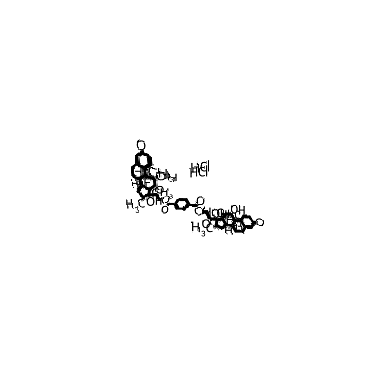 C[C@@H]1C[C@H]2[C@@H]3CCC4=CC(=O)C=C[C@]4(C)[C@@]3(F)[C@@H](O)C[C@]2(C)[C@@]1(O)C(=O)COC(=O)c1ccc(C(=O)OCC(=O)[C@@]2(O)[C@H](C)C[C@H]3[C@@H]4CCC5=CC(=O)C=C[C@]5(C)[C@@]4(F)[C@@H](O)C[C@@]32C)cc1.Cl.Cl